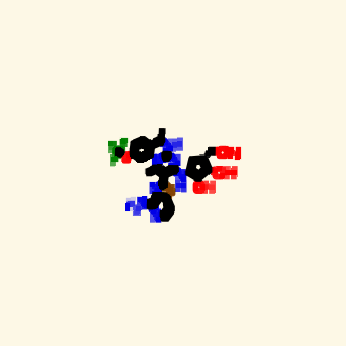 Cc1nc(N[C@H](C)c2ccc(OC(F)(F)F)cc2)nc(N[C@@H]2C[C@H](CO)[C@@H](O)[C@H]2O)c1-c1nc2c(N)nccc2s1